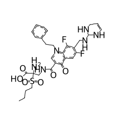 CCCCS(=O)(=O)C(N)(CNC(=O)c1cn(CCc2ccccc2)c2c(F)c(CNC3NC=CCN3)c(F)cc2c1=O)C(=O)O